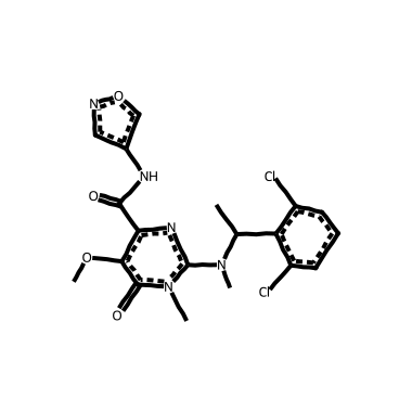 COc1c(C(=O)Nc2cnoc2)nc(N(C)C(C)c2c(Cl)cccc2Cl)n(C)c1=O